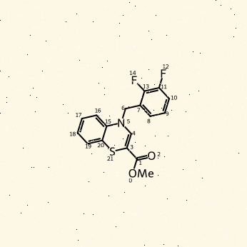 COC(=O)C1=CN(Cc2cccc(F)c2F)c2ccccc2S1